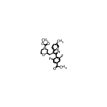 COC(=O)N1CCOC(Cc2c(-c3c(F)cc(C(C)=O)cc3F)nn3cc(C)ccc23)C1